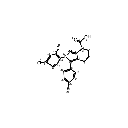 O=C(O)[C@H]1CCCc2c1nn(-c1ccc(Cl)cc1Cl)c2-c1ccc(Br)cc1